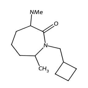 CNC1CCCC(C)N(CC2CCC2)C1=O